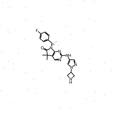 C[C@@H](c1ccc(F)cc1)N1C(=O)C(C)(C)c2cnc(Nc3cnn(C4CNC4)c3)nc21